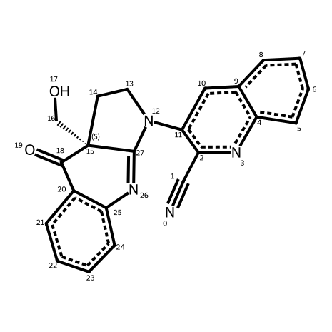 N#Cc1nc2ccccc2cc1N1CC[C@]2(CO)C(=O)c3ccccc3N=C12